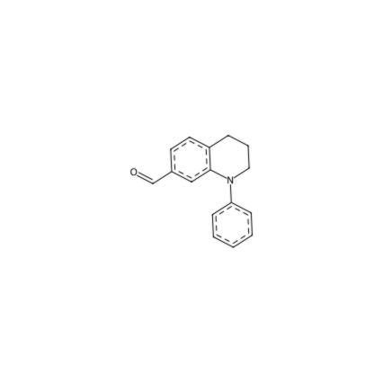 O=Cc1ccc2c(c1)N(c1ccccc1)CCC2